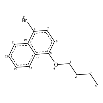 CCCCOc1ccc(Br)c2ccccc12